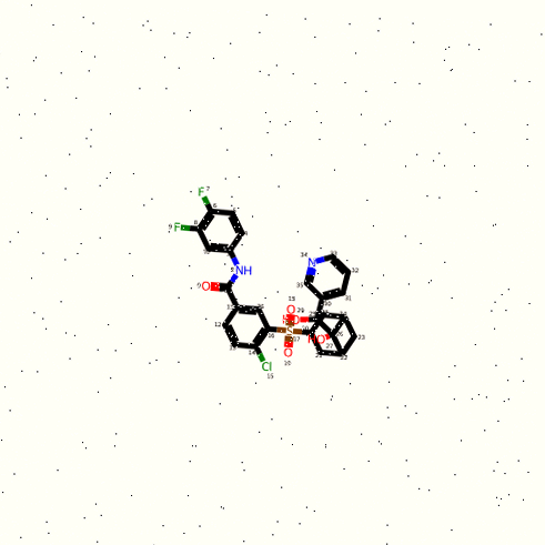 O=C(Nc1ccc(F)c(F)c1)c1ccc(Cl)c(S(=O)(=O)C2CC3CC(C2)C3(O)C(O)c2cccnc2)c1